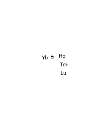 [Er].[Ho].[Lu].[Tm].[Yb]